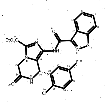 CCOC(=O)c1nc(NC(=O)c2nsc3ccccc23)c2n1CC(=O)N[C@H]2c1cc(F)ccc1Cl